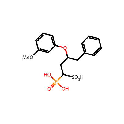 COc1cccc(OC(Cc2ccccc2)CC(P(=O)(O)O)S(=O)(=O)O)c1